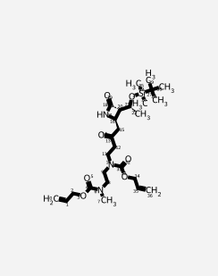 C=CCOC(=O)N(C)CCN(CCC(=O)C[C@H]1NC(=O)[C@@H]1[C@@H](C)O[Si](C)(C)C(C)(C)C)C(=O)OCC=C